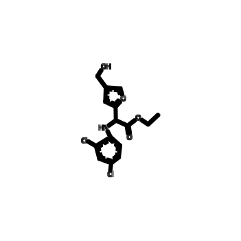 CCOC(=O)C(Nc1ccc(Cl)cc1Cl)c1cc(CO)co1